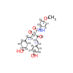 COc1ccc(NC(=O)C(C(=O)/C=C/c2ccc(O)cc2)C(=O)/C=C/c2ccc(O)cc2)cc1